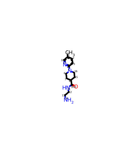 Cc1ccc(N2CCC(C(=O)NCCN)CC2)nc1